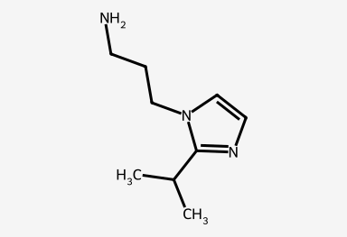 CC(C)c1nccn1CCCN